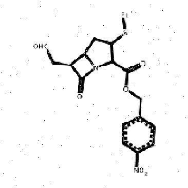 CCSC1CC2[C@H](CC=O)C(=O)N2C1C(=O)OCc1ccc([N+](=O)[O-])cc1